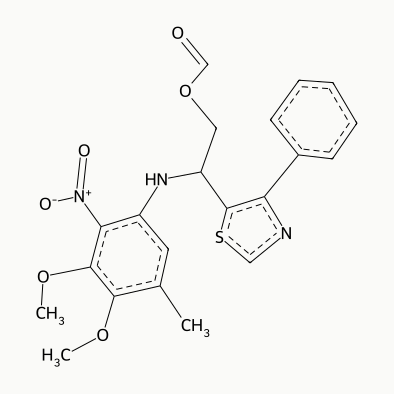 COc1c(C)cc(NC(COC=O)c2scnc2-c2ccccc2)c([N+](=O)[O-])c1OC